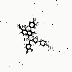 CCN1CCC(n2cc(C(Nc3cc(Cl)cc4c(Nc5ccc(F)c(Cl)c5)c(C#N)cnc34)c3ccc(F)c(F)c3)nn2)CC1